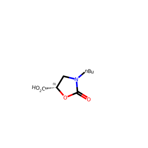 CCCCN1C[C@@H](C(=O)O)OC1=O